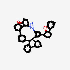 c1cc2cc(c1)C1c3ccccc3-c3ccccc3C1c1cc(cc(-c3cccc4c3oc3ccccc34)c1)Nc1cccc3oc4cccc-2c4c13